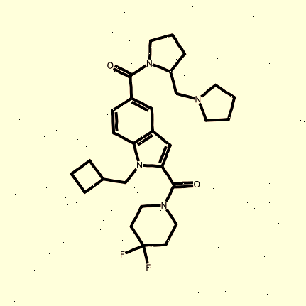 O=C(c1cc2cc(C(=O)N3CCCC3CN3CCCC3)ccc2n1CC1CCC1)N1CCC(F)(F)CC1